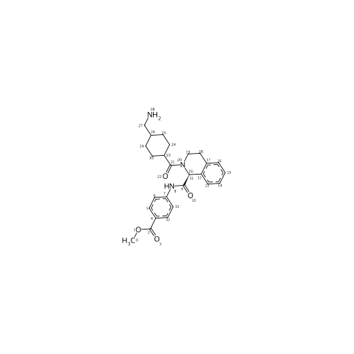 COC(=O)c1ccc(NC(=O)[C@@H]2c3ccccc3CCN2C(=O)C2CCC(CN)CC2)cc1